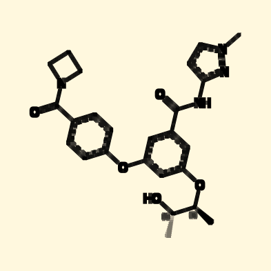 C[C@H](O)[C@H](C)Oc1cc(Oc2ccc(C(=O)N3CCC3)cc2)cc(C(=O)Nc2ccn(C)n2)c1